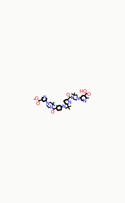 COC(=O)c1cncc(N2CCN(C(=O)c3ccc(N4CC(C)(C)c5nc(C(=O)N6CCN(c7cnc(C)c(C(=O)O)c7)CC6(C)C)ccc54)cc3F)C(C)(C)C2)c1